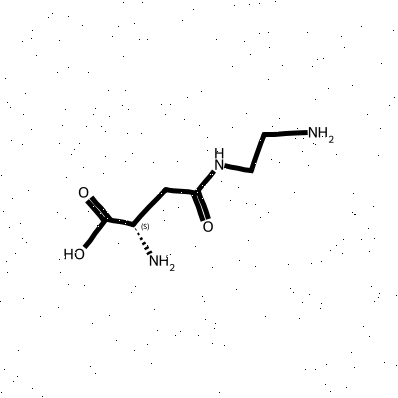 NCCNC(=O)C[C@H](N)C(=O)O